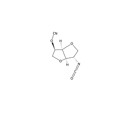 N#CO[C@@H]1CO[C@H]2[C@@H]1OC[C@@H]2N=C=O